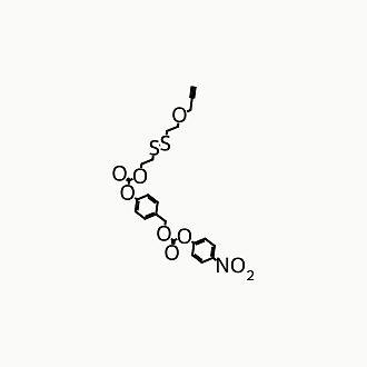 C#CCOCCSSCCOC(=O)Oc1ccc(COC(=O)Oc2ccc([N+](=O)[O-])cc2)cc1